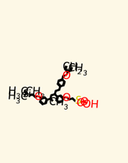 C=C/C(=C\C)OCc1ccc(CCC(CC(C)c2cccc(OCCC[Si](C)(C)C)c2)c2cccc(OCCCSOOO)c2)cc1